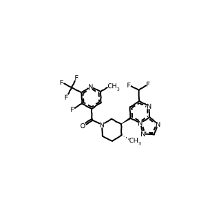 Cc1cc(C(=O)N2CC[C@@H](C)[C@H](c3cc(C(F)F)nc4ncnn34)C2)c(F)c(C(F)(F)F)n1